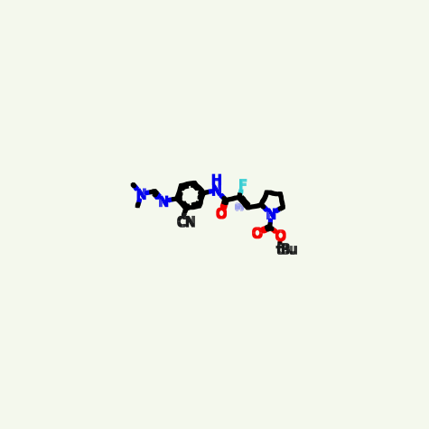 CN(C)C=Nc1ccc(NC(=O)/C(F)=C/C2CCCN2C(=O)OC(C)(C)C)cc1C#N